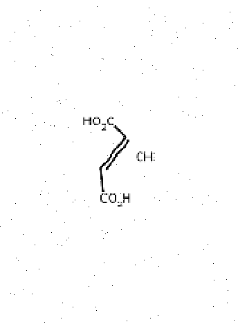 O=C(O)C=CC(=O)O.[CH]